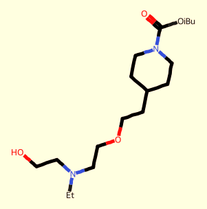 CCN(CCO)CCOCCC1CCN(C(=O)OCC(C)C)CC1